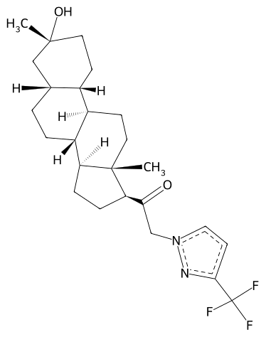 C[C@@]1(O)CC[C@H]2[C@H](CC[C@@H]3[C@@H]2CC[C@]2(C)[C@@H](C(=O)Cn4ccc(C(F)(F)F)n4)CC[C@@H]32)C1